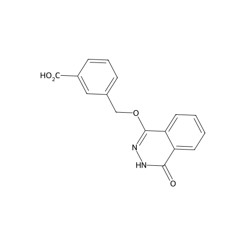 O=C(O)c1cccc(COc2n[nH]c(=O)c3ccccc23)c1